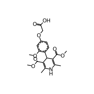 COC(=O)C1=C(C)NC(C)=C(C(=O)OC)C1c1ccc(OCC(=O)O)cc1OC